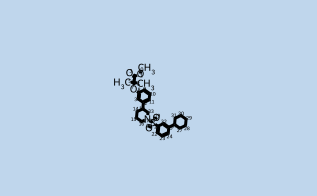 COC(=O)C(C)(C)Oc1cccc(C2CCCN(S(=O)(=O)c3cccc(C4CCCCC4)c3)C2)c1